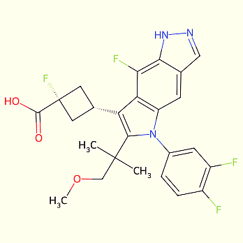 COCC(C)(C)c1c([C@H]2C[C@](F)(C(=O)O)C2)c2c(F)c3[nH]ncc3cc2n1-c1ccc(F)c(F)c1